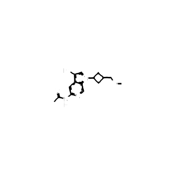 COCC1CC(n2cc(Br)c3cc(NC(C)=O)ncc32)C1